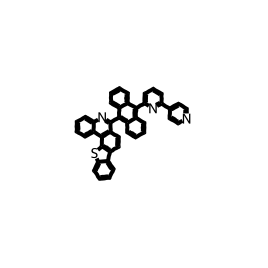 c1cc(-c2ccncc2)nc(-c2c3ccccc3c(-c3nc4ccccc4c4c3ccc3c5ccccc5sc34)c3ccccc23)c1